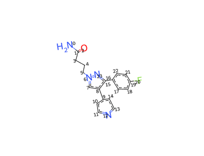 NC(=O)CCCn1cc(-c2ccncc2)c(-c2ccc(F)cc2)n1